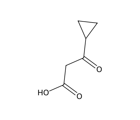 O=C(O)CC(=O)C1CC1